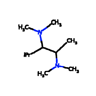 CC(C)C(C(C)N(C)C)N(C)C